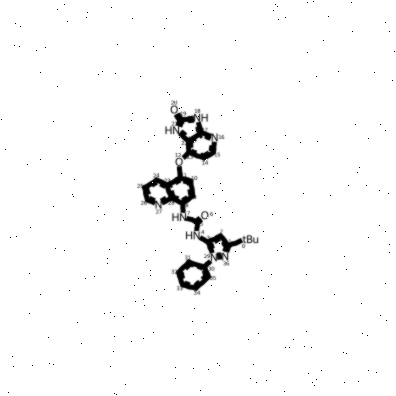 CC(C)(C)c1cc(NC(=O)Nc2ccc(Oc3ccnc4[nH]c(=O)[nH]c34)c3cccnc23)n(-c2ccccc2)n1